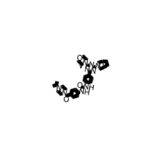 CC(C)N1CCN(C(=O)c2ccc(NC(=O)Nc3ccc(-c4nc(N5CC6CCC(C5)O6)nc(N5CCOC[C@@H]5C)n4)cc3)cc2)CC1